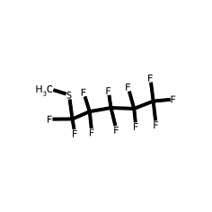 CSC(F)(F)C(F)(F)C(F)(F)C(F)(F)C(F)(F)F